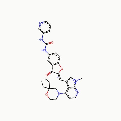 CCC1(CC)CN(c2ccnc3c2c(/C=C2\Oc4ccc(NC(=O)Nc5cccnc5)cc4C2=O)cn3C)CCO1